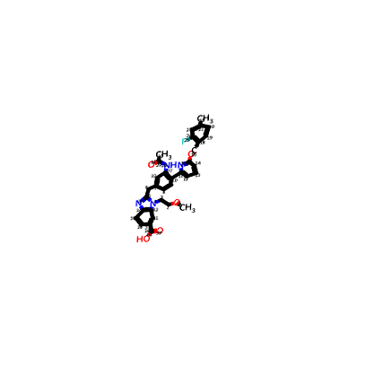 COCCn1c(Cc2ccc(-c3cccc(OCc4ccc(C)cc4F)n3)c(NC(C)=O)c2)nc2ccc(C(=O)O)cc21